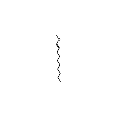 CCCCCCCCC=COC